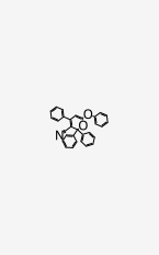 N#CC1=C(c2ccccc2)C=C(Oc2ccccc2)OC1(c1ccccc1)c1ccccc1